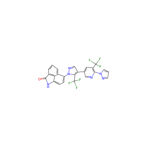 O=C1Nc2ccc(-n3ncc(-c4cnc(-n5cccn5)c(C(F)(F)F)c4)c3C(F)(F)F)c3cccc1c23